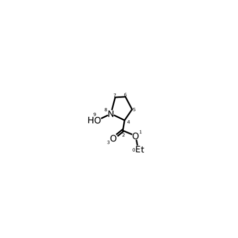 CCOC(=O)C1CCCN1O